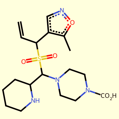 C=CC(c1cnoc1C)S(=O)(=O)C(C1CCCCN1)N1CCN(C(=O)O)CC1